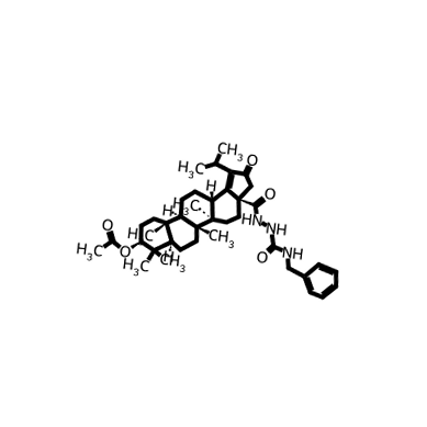 CC(=O)O[C@H]1CC[C@]2(C)[C@H]3CC[C@@H]4C5=C(C(C)C)C(=O)C[C@]5(C(=O)NNC(=O)NCc5ccccc5)CC[C@@]4(C)[C@]3(C)CC[C@H]2C1(C)C